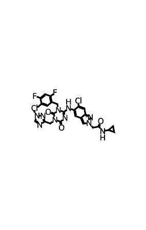 Cn1cnc(Cn2c(=O)nc(Nc3cc4cn(CC(=O)NC5CC5)nc4cc3Cl)n(Cc3cc(Cl)c(F)cc3F)c2=O)n1